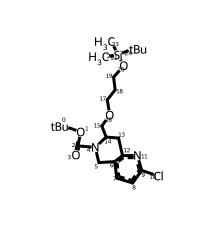 CC(C)(C)OC(=O)N1Cc2ccc(Cl)nc2CC1COCCCO[Si](C)(C)C(C)(C)C